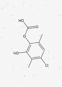 Cc1cc(Cl)c(C)c(O)c1OC(=O)O